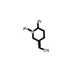 CC(C)C1CC/C(=C\C#N)CN1C(C)C